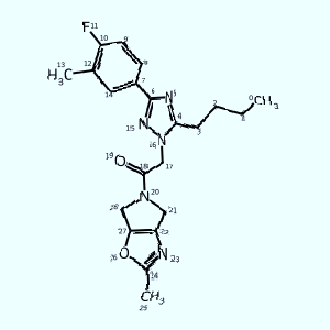 CCCCc1nc(-c2ccc(F)c(C)c2)nn1CC(=O)N1Cc2nc(C)oc2C1